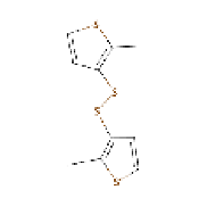 Cc1sccc1SSc1ccsc1C